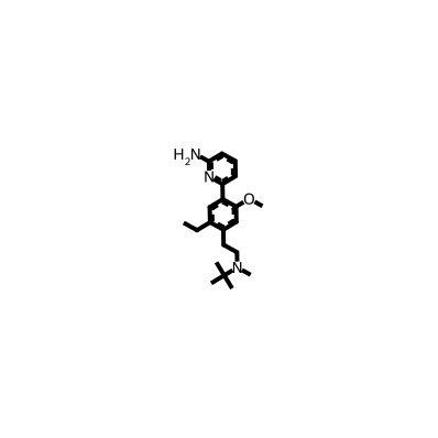 CCc1cc(-c2cccc(N)n2)c(OC)cc1CCN(C)C(C)(C)C